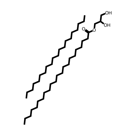 CCCCCCCCCCCCCCCCCCCC.CCCCCCCCCCCCCCCCCCCCCC(=O)OCC(O)CO